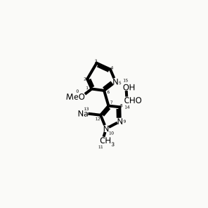 COc1cccnc1-c1cnn(C)[c]1[Na].O=CO